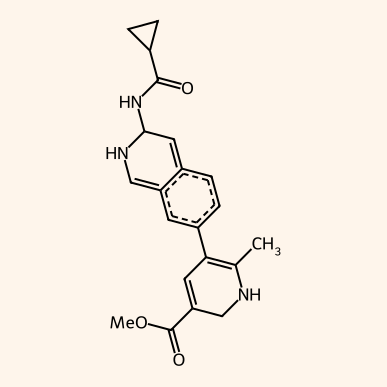 COC(=O)C1=CC(c2ccc3c(c2)=CNC(NC(=O)C2CC2)C=3)=C(C)NC1